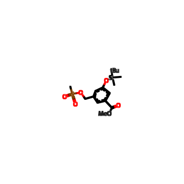 COC(=O)c1cc(COS(C)(=O)=O)cc(O[Si](C)(C)C(C)(C)C)c1